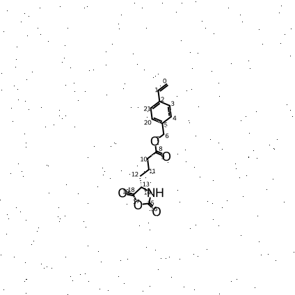 C=Cc1ccc(COC(=O)CCC[C@@H]2NC(=O)OC2=O)cc1